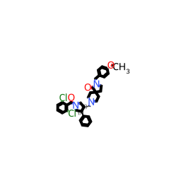 COc1ccc(CN2CCC3(CCN(C[C@H]4CN(C(=O)c5c(Cl)cccc5Cl)C[C@@H]4c4ccccc4)CC3)C2=O)cc1